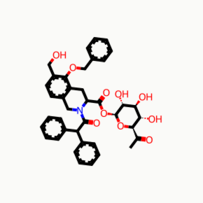 CC(=O)[C@H]1O[C@@H](OC(=O)C2Cc3c(ccc(CO)c3OCc3ccccc3)CN2C(=O)C(c2ccccc2)c2ccccc2)[C@H](O)[C@@H](O)[C@@H]1O